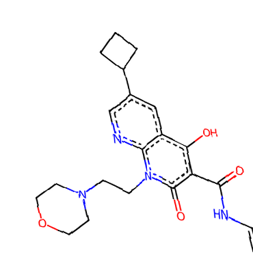 C=CNC(=O)c1c(O)c2cc(C3CCC3)cnc2n(CCN2CCOCC2)c1=O